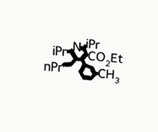 CCCC=Cc1c(C(C)C)nc(C(C)C)c(C(=O)OCC)c1-c1cccc(C)c1